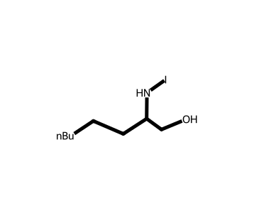 CCCCCCC(CO)NI